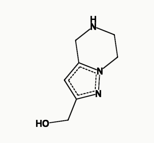 OCc1cc2n(n1)CCNC2